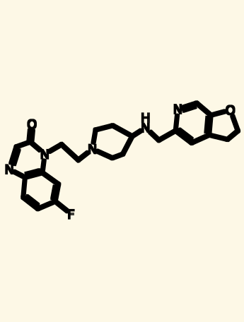 O=c1cnc2ccc(F)cc2n1CCN1CCC(NCc2cc3c(cn2)OCC3)CC1